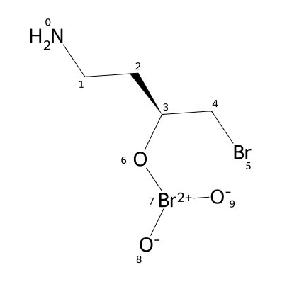 NCC[C@@H](CBr)O[Br+2]([O-])[O-]